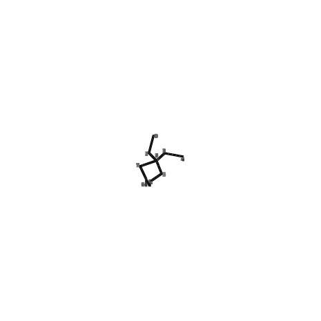 CCC1(CC)C[N]C1